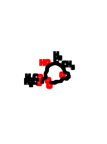 C=C1CC(O)/C=C/CC(C2COC(C)(C)O2)OC(=O)/C=C/CC2C=CCC(CC(C)C1)O2